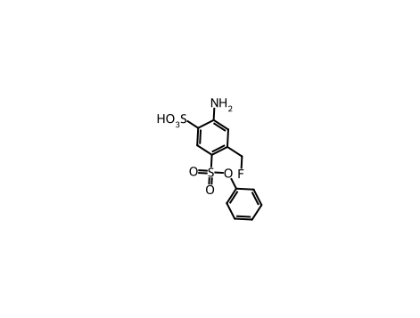 Nc1cc(CF)c(S(=O)(=O)Oc2ccccc2)cc1S(=O)(=O)O